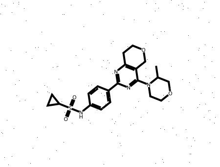 CC1COCCN1c1nc(-c2ccc(NS(=O)(=O)C3CC3)cc2)nc2c1COCC2